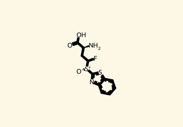 N[C@@H](CC(F)[S+]([O-])c1nc2ccccc2s1)C(=O)O